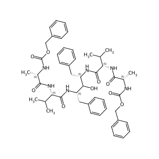 CC(C)[C@H](NC(=O)[C@H](C)NC(=O)OCc1ccccc1)C(=O)N[C@@H](Cc1ccccc1)C(O)[C@H](Cc1ccccc1)NC(=O)[C@@H](NC(=O)[C@H](C)NC(=O)OCc1ccccc1)C(C)C